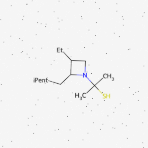 CCCC(C)CC1C(CC)CN1C(C)(C)S